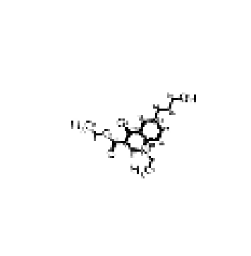 CCOC(=O)c1cn(CC)c2ccc(CCCO)cc2c1=O